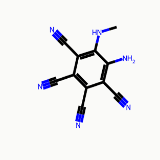 CNc1c(N)c(C#N)c(C#N)c(C#N)c1C#N